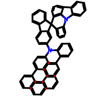 c1ccc(-c2ccc(-c3ccccc3N(c3ccc4c(c3)C3(c5ccccc5-4)c4ccccc4-n4c5ccccc5c5cccc3c54)c3ccc4c5ccccc5c5ccccc5c4c3)cc2)cc1